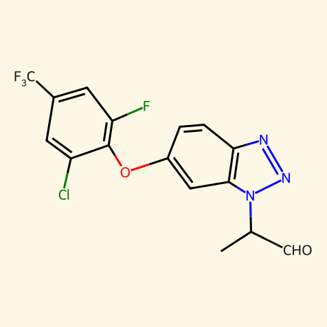 CC(C=O)n1nnc2ccc(Oc3c(F)cc(C(F)(F)F)cc3Cl)cc21